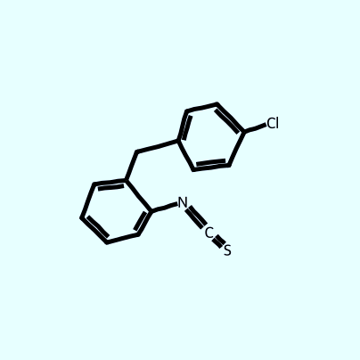 S=C=Nc1ccccc1Cc1ccc(Cl)cc1